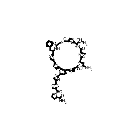 CC(C)C1NC(=O)c2csc(n2)C(CC(N)=O)NC(=O)c2csc(n2)-c2ccc(-c3nc(C4N=C(C(=O)N5CCCC5C(N)=O)CO4)cs3)nc2-c2csc(n2)-c2csc(n2)C(Cc2ccccc2)NC(=O)CNC(=O)c2csc1n2